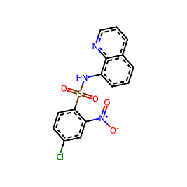 O=[N+]([O-])c1cc(Cl)ccc1S(=O)(=O)Nc1cccc2cccnc12